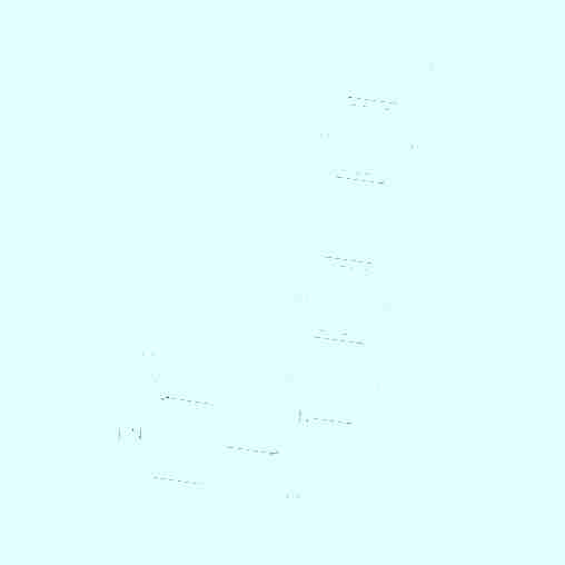 O=C1CC(C(=O)N2CCc3ccc(Oc4ccc(C(F)(F)F)cc4)cc3C2)CCN1